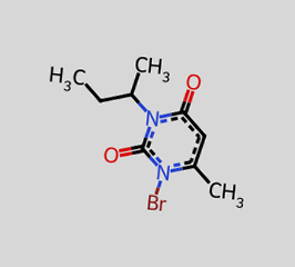 CCC(C)n1c(=O)cc(C)n(Br)c1=O